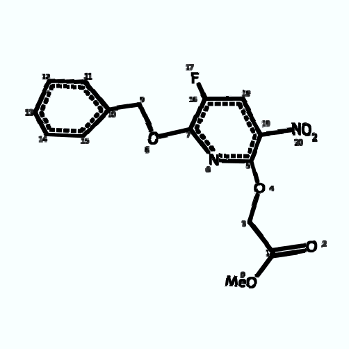 COC(=O)COc1nc(OCc2ccccc2)c(F)cc1[N+](=O)[O-]